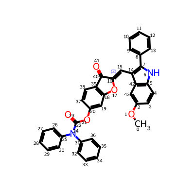 COc1ccc2[nH]c(-c3ccccc3)c(/C=C3\Oc4cc(OC(=O)N(c5ccccc5)c5ccccc5)ccc4C3=O)c2c1